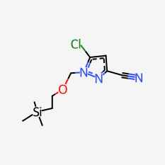 C[Si](C)(C)CCOCn1nc(C#N)cc1Cl